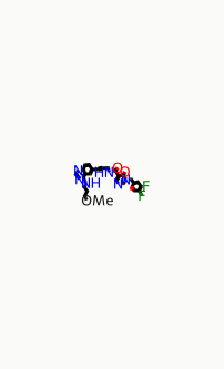 COCCCNc1ncnc2ccc(C#CCNC(=O)c3cncn(Cc4ccc(F)c(F)c4)c3=O)cc12